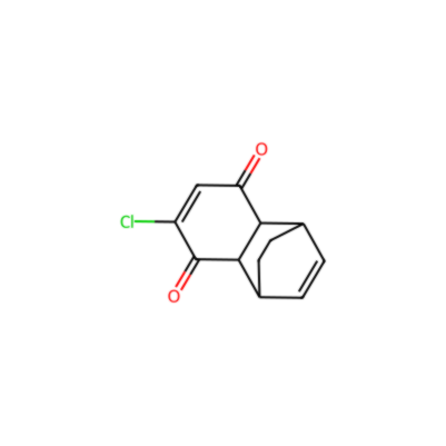 O=C1C=C(Cl)C(=O)C2C3C=CC(CC3)C12